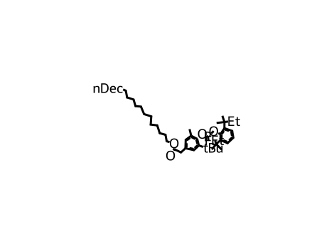 CCCCCCCCCCCCCCCCCCCCCCOC(=O)Cc1cc(C)c(OP(F)Oc2c(C(C)(C)CC)cccc2C(C)(C)CC)c(C(C)(C)C)c1